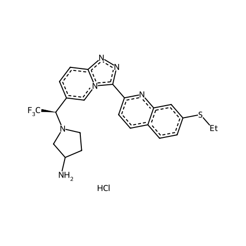 CCSc1ccc2ccc(-c3nnc4ccc([C@@H](N5CCC(N)C5)C(F)(F)F)cn34)nc2c1.Cl